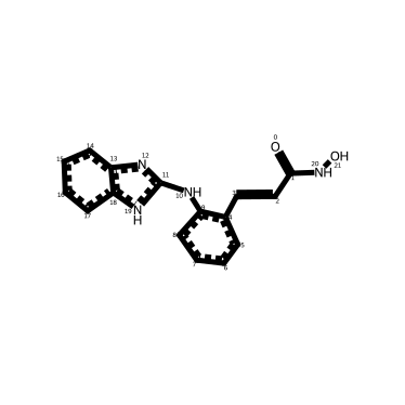 O=C(C=Cc1ccccc1Nc1nc2ccccc2[nH]1)NO